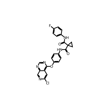 O=C(Nc1ccc(F)cc1)C1(C(=O)Nc2ccc(Oc3ncnc4cnc(Cl)cc34)cc2)CC1